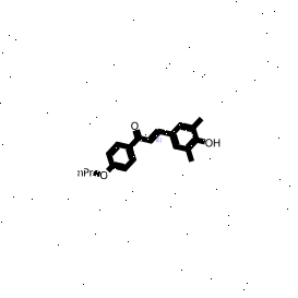 CCCOc1ccc(C(=O)/C=C/c2cc(C)c(O)c(C)c2)cc1